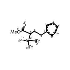 COC(=O)C(CCc1ccccc1)[Si](C(C)C)(C(C)C)C(C)C